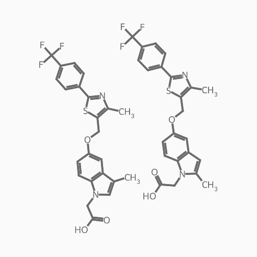 Cc1nc(-c2ccc(C(F)(F)F)cc2)sc1COc1ccc2c(c1)c(C)cn2CC(=O)O.Cc1nc(-c2ccc(C(F)(F)F)cc2)sc1COc1ccc2c(c1)cc(C)n2CC(=O)O